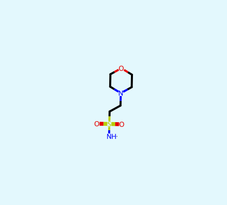 [NH]S(=O)(=O)CCN1CCOCC1